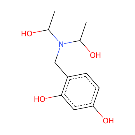 CC(O)N(Cc1ccc(O)cc1O)C(C)O